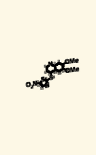 COc1cc2nccc(Sc3ncc([N+](=O)[O-])s3)c2cc1OC